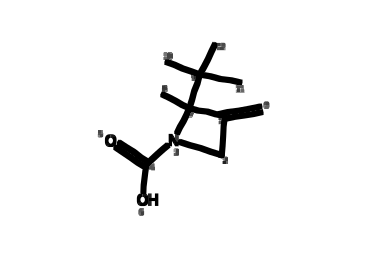 C=C1CN(C(=O)O)C1(C)C(C)(C)C